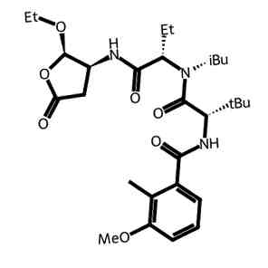 CCO[C@@H]1OC(=O)C[C@@H]1NC(=O)[C@H](CC)N(C(=O)[C@@H](NC(=O)c1cccc(OC)c1C)C(C)(C)C)[C@@H](C)CC